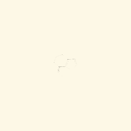 C=C1CCCc2ccoc21